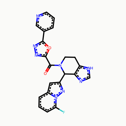 O=C(c1nnc(-c2cccnc2)o1)N1CCc2[nH]cnc2C1c1cc2cccc(F)n2n1